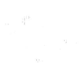 COc1cccc2c(=O)[nH]c3sc(CN(C)C)cc3c12.Cl